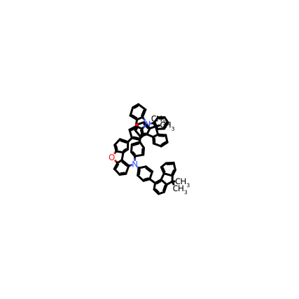 CC1(C)c2ccccc2-c2c(-c3ccc(N(c4ccc(-c5cccc6c5-c5ccccc5C6(C)C)cc4)c4cccc5oc6ccc(-c7ccc8c(c7)c7ccccc7n8-c7ccccc7)cc6c45)cc3)cccc21